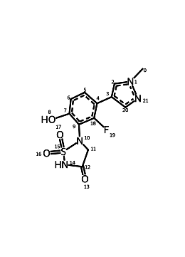 Cn1cc(-c2ccc(O)c(N3CC(=O)NS3(=O)=O)c2F)cn1